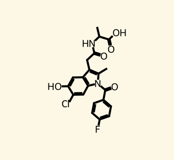 Cc1c(CC(=O)NC(C)C(=O)O)c2cc(O)c(Cl)cc2n1C(=O)c1ccc(F)cc1